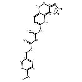 COc1ccc(COC(=O)CC(=O)OC2=CC=C3OCC4=CNNC4=C3C2)cc1